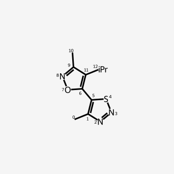 Cc1nnsc1-c1onc(C)c1C(C)C